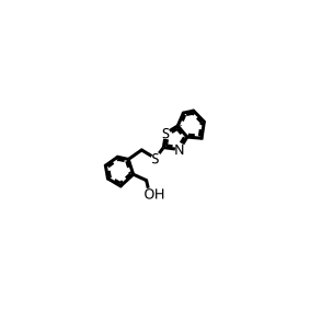 OCc1ccccc1CSc1nc2ccccc2s1